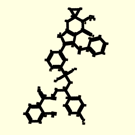 CN1C(=O)c2c([nH]c(-c3ccnc(C(F)(F)CC(CNC(=O)c4ccccc4O)c4ccc(F)cc4)c3)c2Nc2ccccc2)CC12CC2